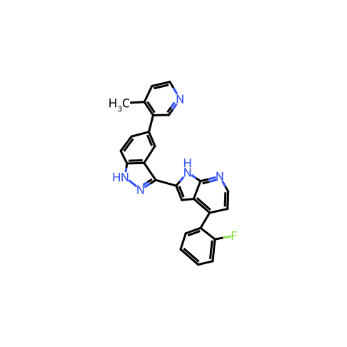 Cc1ccncc1-c1ccc2[nH]nc(-c3cc4c(-c5ccccc5F)ccnc4[nH]3)c2c1